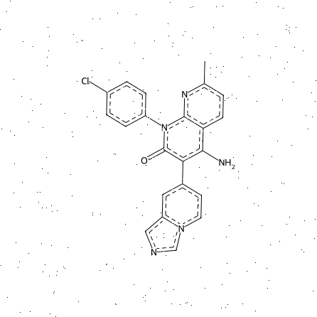 Cc1ccc2c(N)c(-c3ccn4cncc4c3)c(=O)n(-c3ccc(Cl)cc3)c2n1